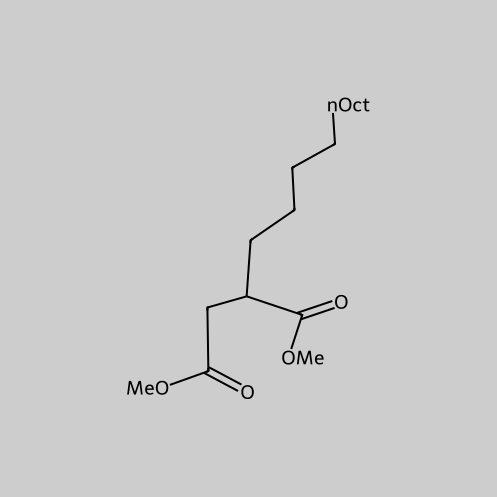 CCCCCCCCCCCCC(CC(=O)OC)C(=O)OC